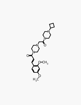 COc1ccc(/C=C/C(=O)N2CCN(CC(=O)N3CCN(C4CCC4)CC3)CC2)c(OC)c1